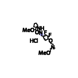 COCCN(C)CCOc1ccc(/C=N/CNC2(C(=O)OC)CCCC2)c(F)c1F.Cl